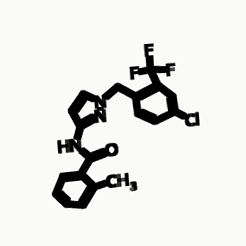 Cc1ccccc1C(=O)Nc1ccn(Cc2ccc(Cl)cc2C(F)(F)F)n1